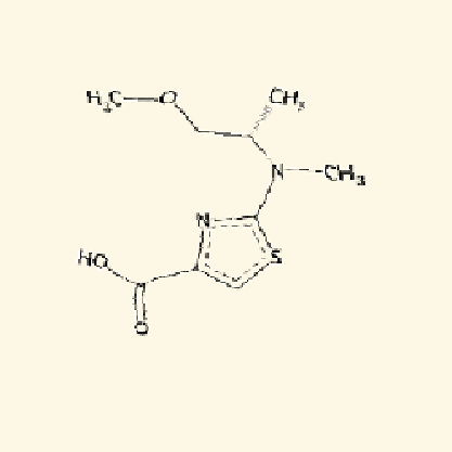 COC[C@H](C)N(C)c1nc(C(=O)O)cs1